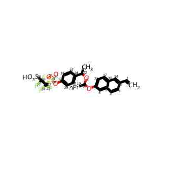 C=Cc1ccc2cc(OC(CCC)OC(C)c3ccc(OS(=O)(=O)C(F)(F)C(F)(F)S(=O)(=O)O)cc3)ccc2c1